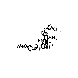 COC1CCN(CC(=O)NC2=CNC(C)C(NC3NN(C)c4nc(Nc5cnn(C)c5)ncc43)=C2)CC1